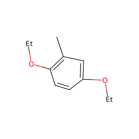 CCOc1ccc(OCC)c(C)c1